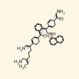 C/C=C(\CN)CCC/C(=C\N)C1=CC=C(/C(C)=c2\cccc\c2=C(\CNc2cccc3ccccc23)C2=CCC(/C(=C/N)CC)C=C2)CC1